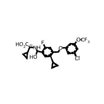 O=C(O)[C@@H](NC(O)c1cc(C2CC2)c(COc2cc(Cl)cc(OC(F)(F)F)c2)cc1F)C1CC1